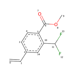 C=Cc1ccc(C(=O)OC)c(C(F)F)c1